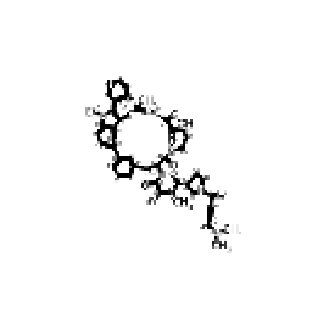 CCn1c(-c2cccnc2)c2c3cc(ccc31)-c1cccc(c1)C[C@H](NC(=O)[C@H](C(C)C)N(C)C(=O)[C@H]1CCN(C(=O)C#CCN(C)C)C1)C(=O)N1CCC[C@@](O)(N1)C(=O)OCC(C)(C)C2